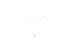 CN[C@@H](C)C(=O)Nc1ncc(-c2ccc(C3=CNNN3)cc2)n(Cc2cncc(-n3cc(C)c4c3C=CC(F)C4)c2)c1=O